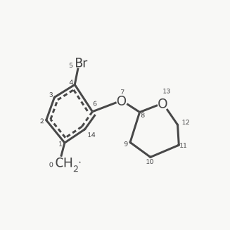 [CH2]c1ccc(Br)c(OC2CCCCO2)c1